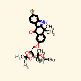 CC1(C)O[C@@H](C(C)(C)O[SiH2]C(C)(C)C)[C@@H](COc2ccc3c(c2)C(=O)c2c([nH]c4cc(Br)ccc24)C3(C)C)O1